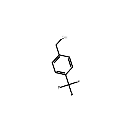 O[CH]c1ccc(C(F)(F)F)cc1